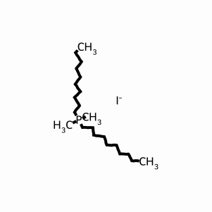 CCCCCCCCCC[P+](C)(C)CCCCCCCCCC.[I-]